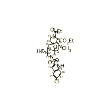 CCOC(=O)CN(C)CC12CN(S(=O)(=O)c3cc4cc(Cl)ccc4[nH]3)C[C@@H](O)N1CC1(CCN(C(=O)CC)CC1)O2